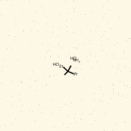 CCC(C)(C)C(C)C.Cl.Cl.N